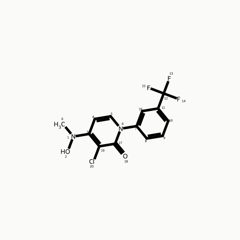 CN(O)c1ccn(-c2cccc(C(F)(F)F)c2)c(=O)c1Cl